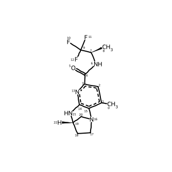 Cc1cc(C(=O)N[C@H](C)C(F)(F)F)nc2c1N1CC[C@@H](C1)N2